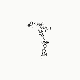 CC1=C(c2ccc(CNC(=O)[C@@H]3C[C@@H](O)CN3C(=O)C(NC(=O)COCCCC(=O)Nc3ccc(-c4ccc(NC=S)cc4)cc3)C(C)(C)C)cc2)OCN1